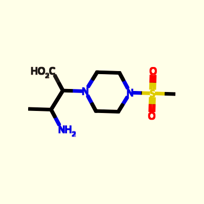 CC(N)C(C(=O)O)N1CCN(S(C)(=O)=O)CC1